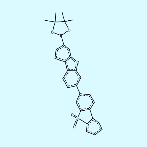 CC1(C)OB(c2ccc3c(c2)oc2cc(-c4ccc5c(c4)S(=O)(=O)c4ccccc4-5)ccc23)OC1(C)C